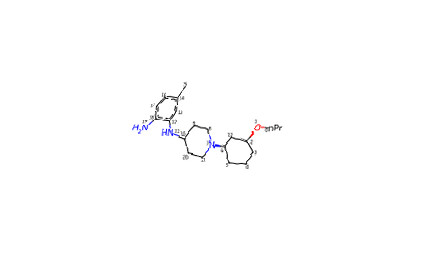 CCCO[C@H]1CCC[C@@H](N2CCC(Nc3cc(C)ccc3N)CC2)C1